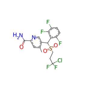 Cc1cc(C(N)=O)ncc1C(c1c(F)ccc(F)c1F)S(=O)(=O)CCC(F)(F)Cl